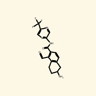 NC1CCc2c(ccc(C(=O)Nc3cnc(C(F)(F)F)cn3)c2C=O)C1